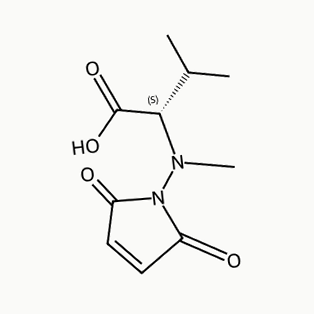 CC(C)[C@@H](C(=O)O)N(C)N1C(=O)C=CC1=O